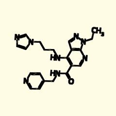 CCn1ncc2c(NCCCn3ccnc3)c(C(=O)NCc3ccncc3)cnc21